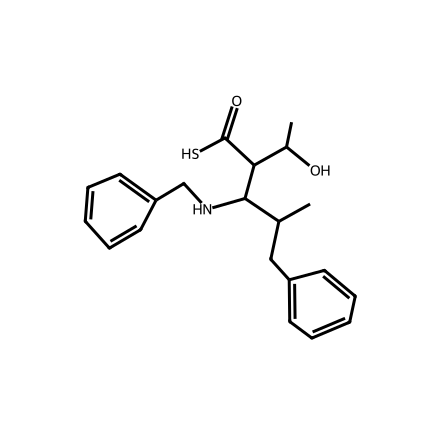 CC(O)C(C(=O)S)C(NCc1ccccc1)C(C)Cc1ccccc1